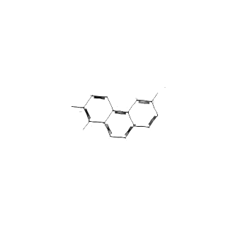 Fc1[c]cc2ccc3c(F)c(F)[c]cc3c2c1